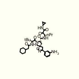 CCC[C@H](NC(=O)[C@@H]1C[C@]2(CC(c3cccc(N)c3)=NO2)CN1C(=O)[C@@H](NC(=O)CC1CCCCC1)C(C)(C)C)C(=O)C(=O)NC1CC1